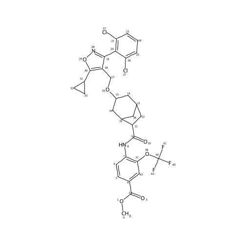 COC(=O)c1ccc(NC(=O)C2CC3CC(OCc4c(-c5c(Cl)cccc5Cl)noc4C4CC4)CC2C3)c(OC(F)(F)F)c1